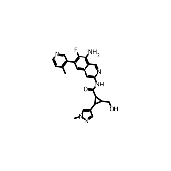 Cc1ccncc1-c1cc2cc(NC(=O)C3C(CO)C3c3cnn(C)c3)ncc2c(N)c1F